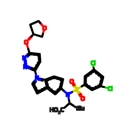 CC(C)(C)C(C(=O)O)N(c1ccc2c(ccn2-c2ccc(O[C@H]3CCOC3)nn2)c1)S(=O)(=O)c1cc(Cl)cc(Cl)c1